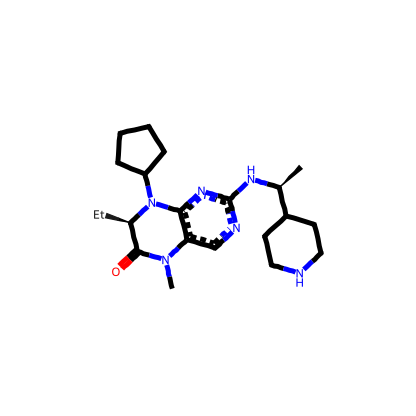 CC[C@@H]1C(=O)N(C)c2cnc(N[C@@H](C)C3CCNCC3)nc2N1C1CCCC1